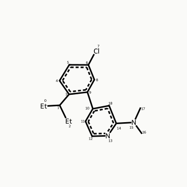 CCC(CC)c1ccc(Cl)cc1-c1ccnc(N(C)C)c1